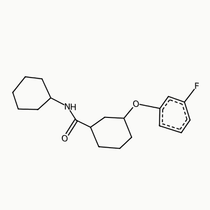 O=C(NC1CCCCC1)C1CCCC(Oc2cccc(F)c2)C1